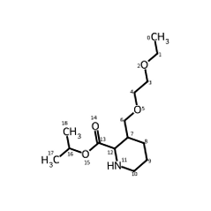 CCOCCOCC1CCCNC1C(=O)OC(C)C